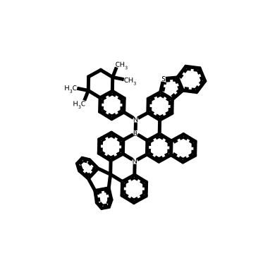 CC1(C)CCC(C)(C)c2cc(N3B4c5cccc6c5N(c5ccccc5C65c6ccccc6-c6ccccc65)c5cc6ccccc6c(c54)-c4cc5c(cc43)sc3ccccc35)ccc21